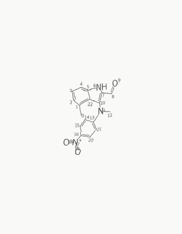 Cc1cccc2[nH]c(C=O)c(N(C)c3ccc([N+](=O)[O-])cc3)c12